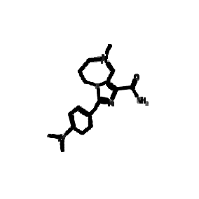 CN1CCCn2c(C3=CC=C(N(C)C)CC3)nc(C(N)=O)c2C1